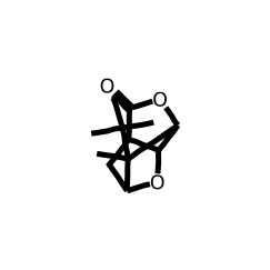 CC(C)(C)C1(C)C2CC3C(=O)OC1C3O2